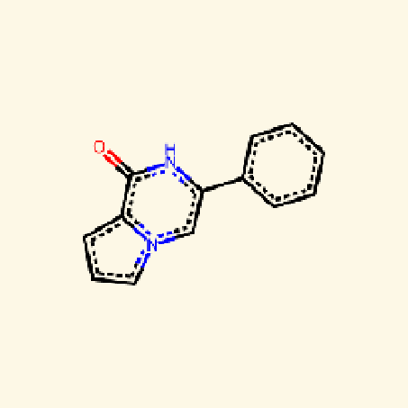 O=c1[nH]c(-c2ccccc2)cn2cccc12